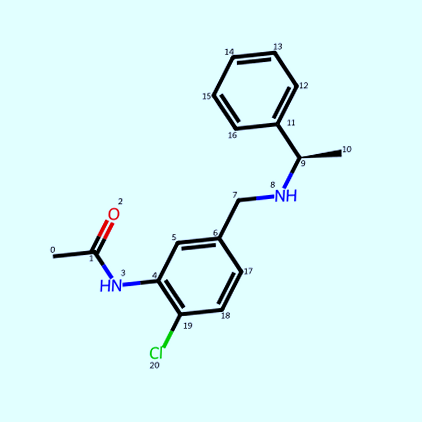 CC(=O)Nc1cc(CN[C@H](C)c2ccccc2)ccc1Cl